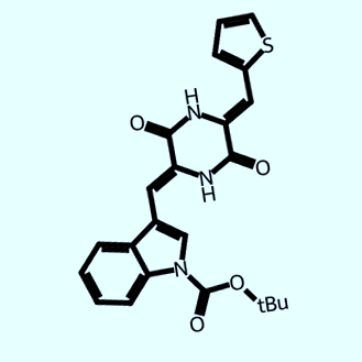 CC(C)(C)OC(=O)n1cc(/C=c2\[nH]c(=O)/c(=C/c3cccs3)[nH]c2=O)c2ccccc21